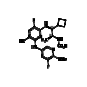 CNc1ncc(Nc2nc(N[C@@H](C3CCC3)[C@H](C)NC(=O)O)c(F)cc2C#N)cc1F